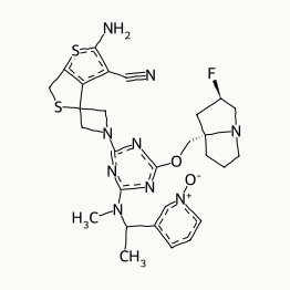 CC(c1ccc[n+]([O-])c1)N(C)c1nc(OC[C@@]23CCCN2C[C@H](F)C3)nc(N2CC3(C2)SCc2sc(N)c(C#N)c23)n1